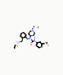 C=CSNCc1ccccc1CN(C(=O)Nc1cccc(C(F)(F)F)c1)C1CCN(C(C)CCC)CC1